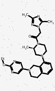 CCOc1ncc(N2CCc3cccc(N4CCN(C(=O)Cn5nc(C)nc5C)[C@H](C)C4)c3C2)cn1